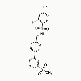 CS(=O)(=O)c1cccc(-c2ccc(CNS(=O)(=O)c3ccc(Br)cc3F)cc2)c1